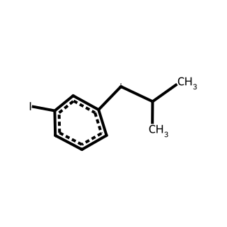 CC(C)[CH]c1cccc(I)c1